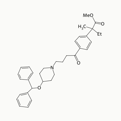 CCC(C)(C(=O)OC)c1ccc(C(=O)CCCN2CCC(OC(c3ccccc3)c3ccccc3)CC2)cc1